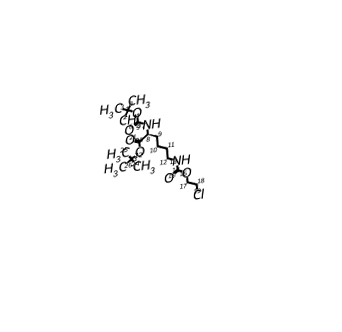 CC(C)(C)OC(=O)N[C@@H](CCCCNC(=O)OCCCl)C(=O)OC(C)(C)C